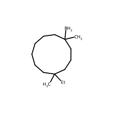 BC1(C)CCCCCCC(C)(CC)CCC1